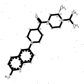 Cc1ccc2cc(N3CCC(C(=O)N4CCN(C(C)C)[C@@H](C)C4)CC3)ccc2n1